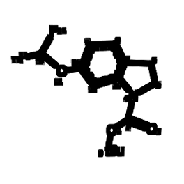 CC(C)(C)OC(=O)N1CCc2ccc(OC(F)F)cc21